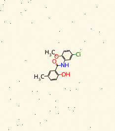 COc1ccc(Cl)cc1NC(=O)c1cc(C)ccc1O